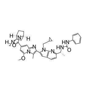 COc1cc(C(=O)N2[C@H]3CC[C@@H]2[C@H](N)C3)cc2nc(-c3cc4ccc([C@@H](C)NC(=O)Nc5ccccc5)nc4n3CC3CC3)c(C)n12